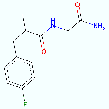 CC(Cc1ccc(F)cc1)C(=O)NCC(N)=O